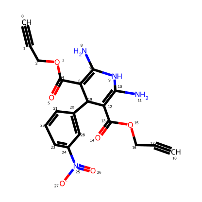 C#CCOC(=O)C1=C(N)NC(N)=C(C(=O)OCC#C)C1c1cccc([N+](=O)[O-])c1